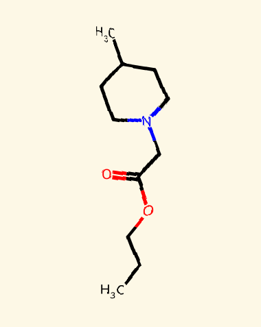 CCCOC(=O)CN1CCC(C)CC1